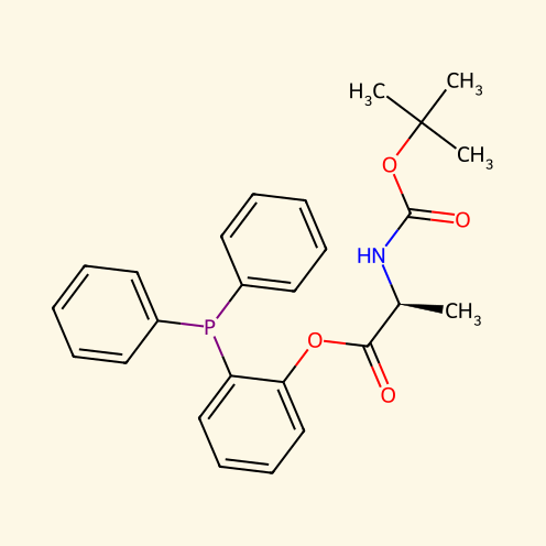 C[C@H](NC(=O)OC(C)(C)C)C(=O)Oc1ccccc1P(c1ccccc1)c1ccccc1